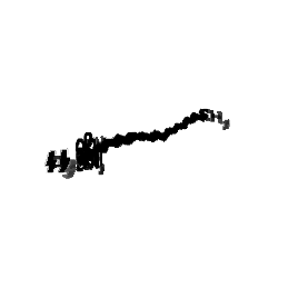 CCCCCCCCCCCCCCCCCCCCCCC(O)(O)C(C(=O)[O-])[N+](C)(C)C